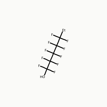 CCC(F)(F)C(F)(F)C(F)(F)C(F)(F)C(O)(F)F